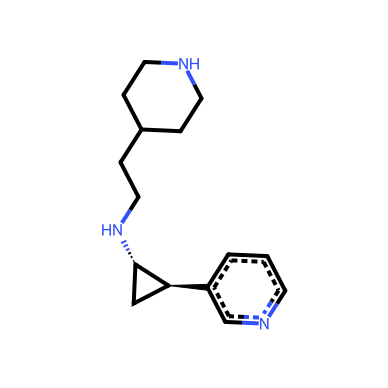 c1cncc([C@H]2C[C@@H]2NCCC2CCNCC2)c1